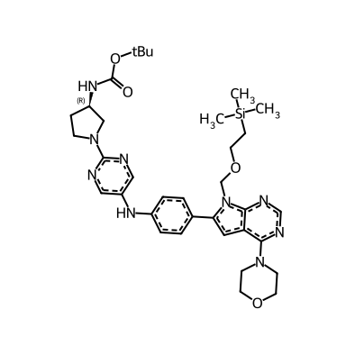 CC(C)(C)OC(=O)N[C@@H]1CCN(c2ncc(Nc3ccc(-c4cc5c(N6CCOCC6)ncnc5n4COCC[Si](C)(C)C)cc3)cn2)C1